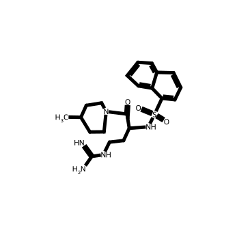 CC1CCN(C(=O)C(CCNC(=N)N)NS(=O)(=O)c2cccc3ccccc23)CC1